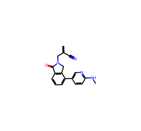 C=C(C#N)CN1Cc2c(cccc2-c2ccc(NC)nc2)C1=O